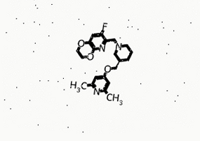 Cc1cc(OC[C@@H]2CCCN(Cc3nc4c(cc3F)OCCO4)C2)cc(C)n1